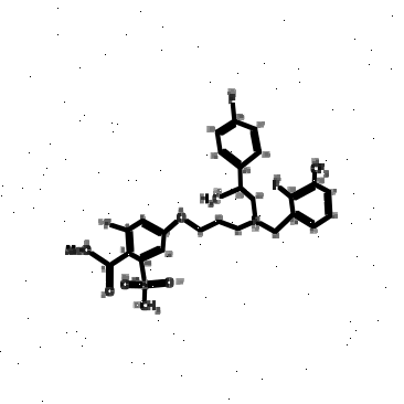 COC(=O)c1c(F)cc(OCCCN(Cc2cccc(C(F)(F)F)c2F)CC(C)c2ccc(F)cc2)cc1S(C)(=O)=O